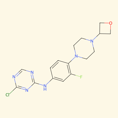 Fc1cc(Nc2ncnc(Cl)n2)ccc1N1CCN(C2COC2)CC1